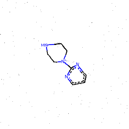 c1cnc([N+]2CCNCC2)nc1